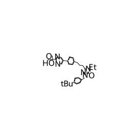 CCn1c(CCCc2ccc(-c3cnc(C4(O)COC4)nc3)cc2)nn(Cc2ccc(C(C)(C)C)cc2)c1=O